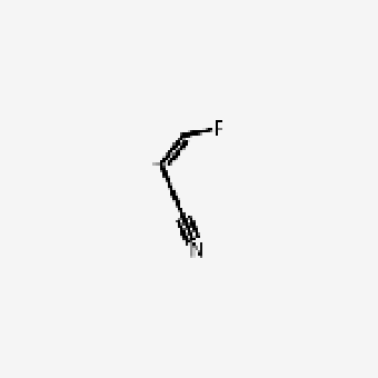 N#C/[C]=C\F